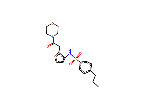 CCCc1ccc(S(=O)(=O)Nc2ccsc2CC(=O)N2CCSCC2)cc1